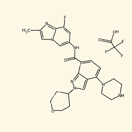 Cc1cn2cc(NC(=O)c3ccc(N4CCNCC4)c4cn(C5CCOCC5)nc34)cc(F)c2n1.O=C(O)C(F)(F)F